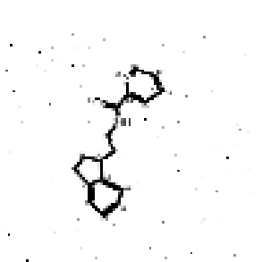 O=C(NCCC1CCc2ccccc21)c1ccccn1